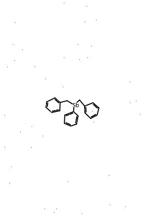 c1ccc([CH2][Sb]([CH2]c2ccccc2)[c]2ccccc2)cc1